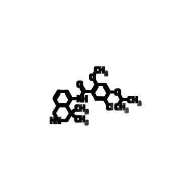 COc1cc(OC(C)C)c(Cl)cc1C(=O)Nc1cccc2c1C(C)(C)CNC2